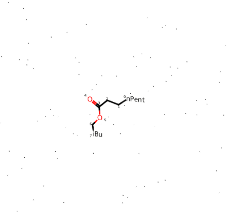 CCCCCCCC(=O)OCC(C)CC